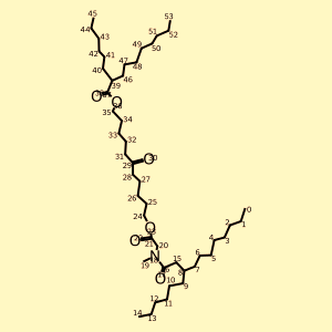 CCCCCCCCC(CCCCCC)CC(=O)N(C)CC(=O)OCCCCCC(=O)CCCCCOC(=O)C(CCCCCC)CCCCCCCC